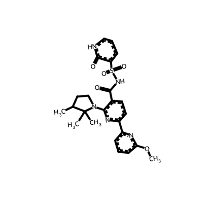 COc1cccc(-c2ccc(C(=O)NS(=O)(=O)c3ccc[nH]c3=O)c(N3CCC(C)C3(C)C)n2)n1